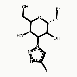 OCC1O[C@H](SBr)C(O)C(n2cc(I)nn2)[C@H]1O